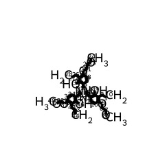 C=CCc1c(OCCOC)ccc(-c2nc(-c3ccc(OCCOC)c(CC=C)c3O)nc(-c3ccc(OCOC)c(CC=C)c3O)n2)c1O